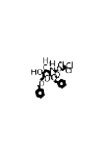 C[C@@H]1C(NC(=O)OCC(Cl)(Cl)Cl)[C@H](OCc2ccccc2)OC(COCc2ccccc2)[C@H]1O